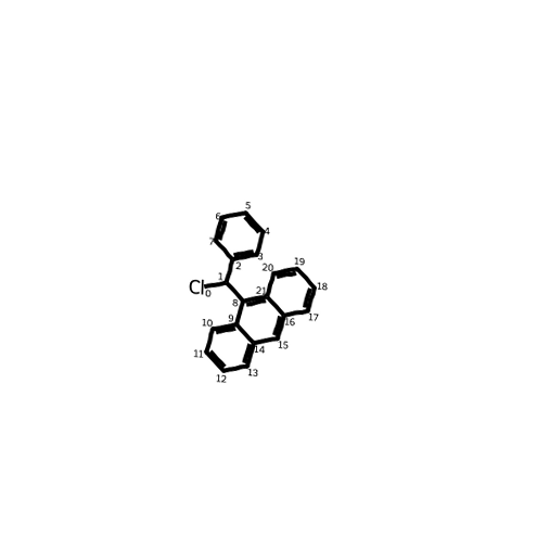 ClC(c1ccccc1)c1c2ccccc2cc2ccccc12